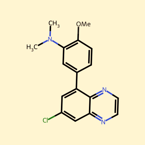 COc1ccc(-c2cc(Cl)cc3nccnc23)cc1N(C)C